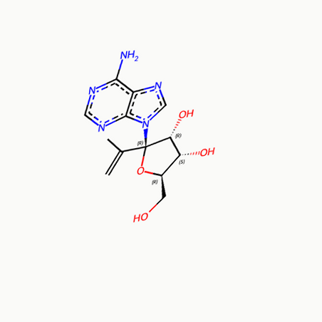 C=C(C)[C@@]1(n2cnc3c(N)ncnc32)O[C@H](CO)[C@@H](O)[C@H]1O